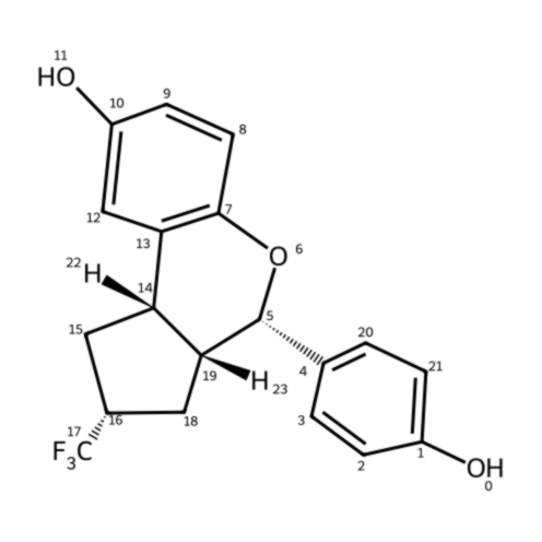 Oc1ccc([C@H]2Oc3ccc(O)cc3[C@H]3C[C@@H](C(F)(F)F)C[C@H]32)cc1